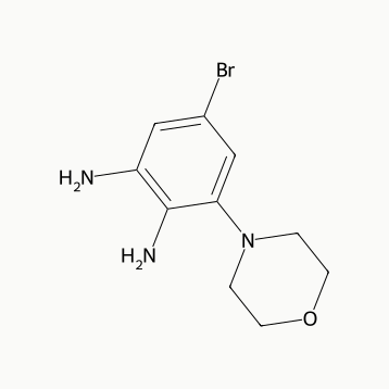 Nc1cc(Br)cc(N2CCOCC2)c1N